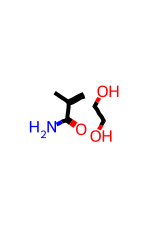 C=C(C)C(N)=O.OCCO